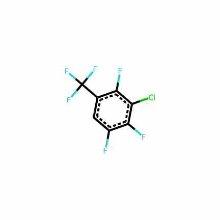 Fc1cc(C(F)(F)F)c(F)c(Cl)c1F